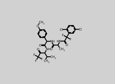 COc1ccc(C(NC(=O)C(C)NC(=O)C(F)(F)c2cc(Cl)ccc2Cl)C(=O)NC(C(=O)C(F)(F)F)C(C)C)cc1